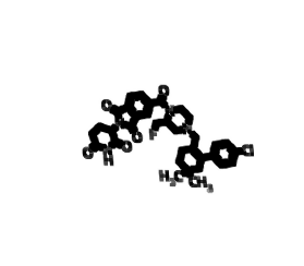 CC1(C)CCC(CN2CCN(C(=O)c3ccc4c(c3)C(=O)N(C3CCC(=O)NC3=O)C4=O)C(CF)C2)=C(c2ccc(Cl)cc2)C1